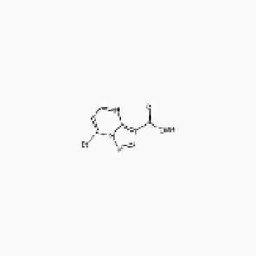 CCc1ccnc2c(C(=O)OC)cnn12